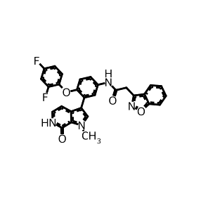 Cn1cc(-c2cc(NC(=O)Cc3noc4ccccc34)ccc2Oc2ccc(F)cc2F)c2cc[nH]c(=O)c21